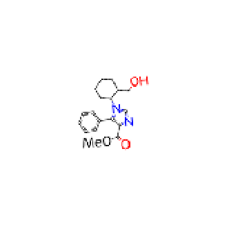 COC(=O)c1ncn(C2CCCCC2CO)c1-c1ccccc1